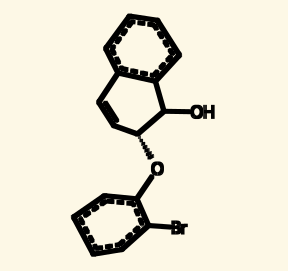 OC1c2ccccc2C=C[C@H]1Oc1ccccc1Br